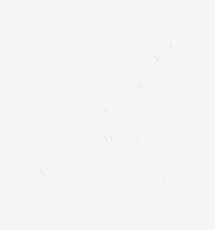 CC1CCN(c2cc(N3CCN(C)CC3)cnc2NC(=O)c2ccc(C#N)o2)CC1